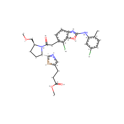 COC[C@@H]1CC[C@@H](c2ncc(CCC(=O)OC)s2)N1C(=O)Cc1ccc2nc(Nc3cc(F)ccc3C)oc2c1F